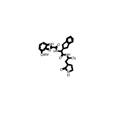 COc1cccc2[nH]c(C(=O)NC(C(=O)NC(C#N)CC3CCNC3=O)C3Cc4ccccc4C3)nc12